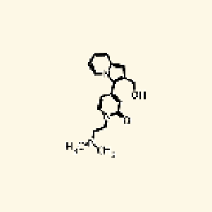 CN(C)CCn1ccc(-c2c(CO)cc3ccccn23)cc1=O